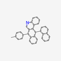 Cc1ccc(-c2c3ccccc3c(-c3cccc4ccccc34)c3c2cnc2ccccc23)cc1